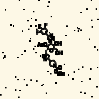 CC(=O)O[C@@H]1[C@@H](n2cc(-c3cc(F)c(F)c(F)c3)nn2)[C@@H](O)[C@@H](CO)O[C@@H]1C[C@H]1CC(C2CCN(C(=O)OC(C)(C)C)CC2)=NO1